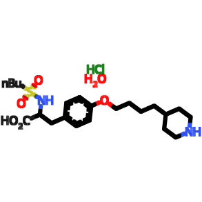 CCCCS(=O)(=O)NC(Cc1ccc(OCCCCC2CCNCC2)cc1)C(=O)O.Cl.O